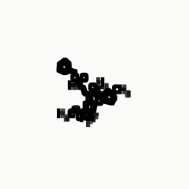 COC(=O)c1cc2c(cc1C(F)(F)F)OC(C)(c1cccc(C)c1)C(=O)N2CCNC(=O)OCc1ccccc1